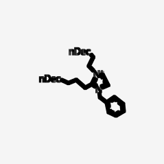 CCCCCCCCCCCCCc1n(Cc2ccccc2)cc[n+]1CCCCCCCCCCCC